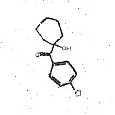 O=C(c1ccc(Cl)cc1)C1(O)CCCCC1